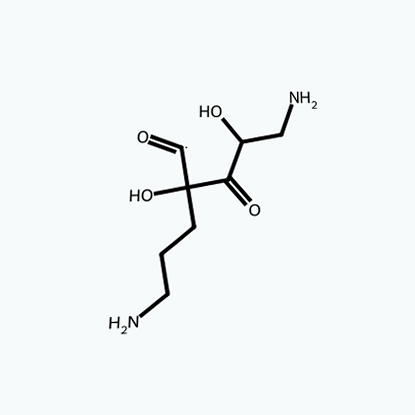 NCCCC(O)([C]=O)C(=O)C(O)CN